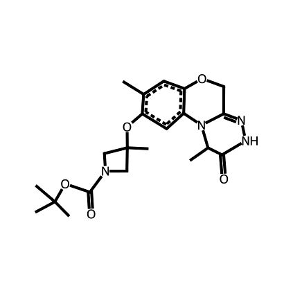 Cc1cc2c(cc1OC1(C)CN(C(=O)OC(C)(C)C)C1)N1C(=NNC(=O)C1C)CO2